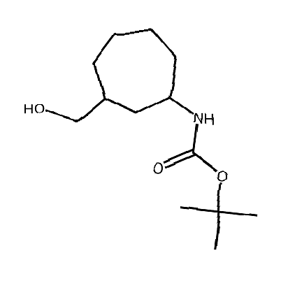 CC(C)(C)OC(=O)NC1CCCCC(CO)C1